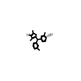 CC1=[C]([Ti+3])C(C)=C(C(c2cccc(C)c2)c2cccc(C)c2)C1.[Cl-].[Cl-].[Cl-]